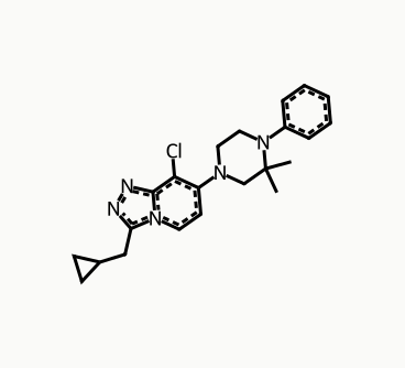 CC1(C)CN(c2ccn3c(CC4CC4)nnc3c2Cl)CCN1c1ccccc1